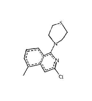 Cc1cccc2c(N3CCSCC3)nc(Cl)cc12